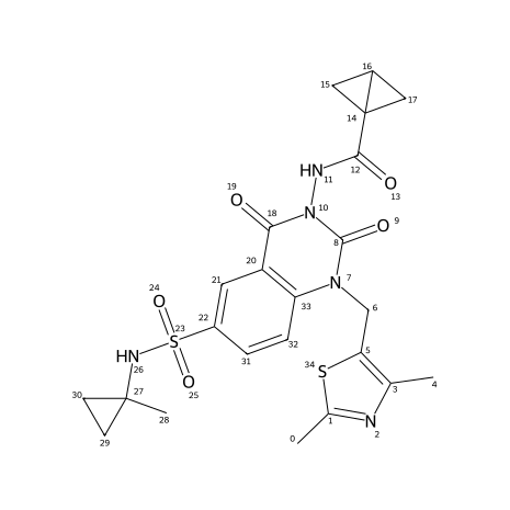 Cc1nc(C)c(Cn2c(=O)n(NC(=O)C34CC3C4)c(=O)c3cc(S(=O)(=O)NC4(C)CC4)ccc32)s1